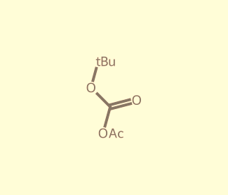 CC(=O)OC(=O)OC(C)(C)C